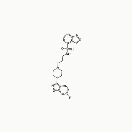 O=S(=O)(NCCCN1CCC(c2noc3cc(F)ccc23)CC1)c1cccc2nscc12